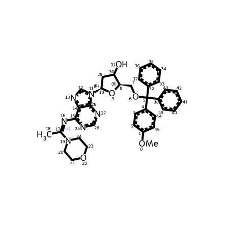 COc1ccc(C(OC[C@H]2O[C@@H](n3cnc4c(/N=C(/C)N5CCOCC5)ncnc43)CC2O)(c2ccccc2)c2ccccc2)cc1